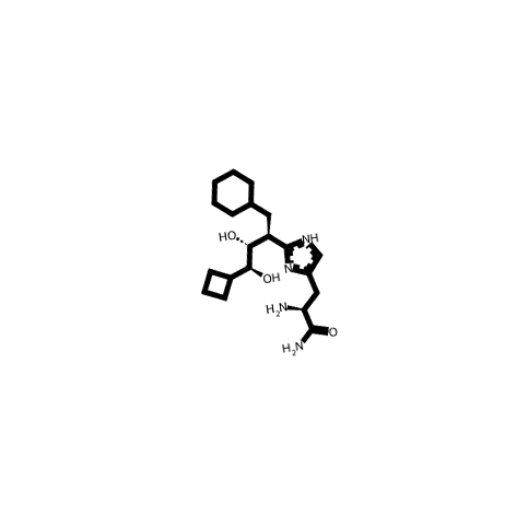 NC(=O)[C@@H](N)Cc1c[nH]c([C@H](CC2CCCCC2)[C@@H](O)[C@@H](O)C2CCC2)n1